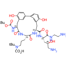 CC(C)(C)OC(=O)N[C@H]1Cc2cc(ccc2O)-c2ccc(O)c(c2)C[C@@H](C(=O)N[C@@H](C[C@@H](O)CN)C(=O)NCCN)NC(=O)[C@H](CCCN(C(=O)O)C(C)(C)C)NC1=O